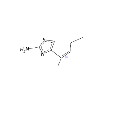 CC/C=C(/C)c1csc(N)n1